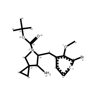 COc1c(Br)cccc1CC1C(N)C2(CC2)CN1C(=O)OC(C)(C)C